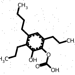 CCCCc1cc(CCC)c(OC(=O)O)c(O)c1CCC